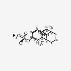 C[C@H]1[C@@H]2CCC[C@@]1(C)c1cc(OS(=O)(=O)C(F)(F)F)ccc1C2